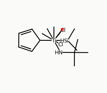 C[SiH](C)[Ti]([CH3])([CH3])([CH3])([CH3])([Cl])([Cl])([NH]C(C)(C)C)[CH]1C=CC=C1